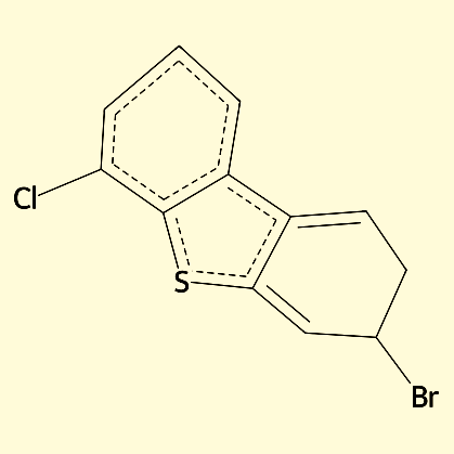 Clc1cccc2c3c(sc12)=CC(Br)CC=3